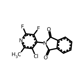 Cc1nc(F)c(F)c(N2C(=O)c3ccccc3C2=O)c1Cl